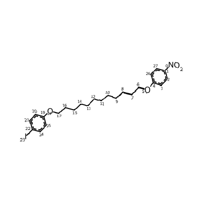 O=[N+]([O-])c1ccc(OCCCCCCCCCCCCOc2ccc(I)cc2)cc1